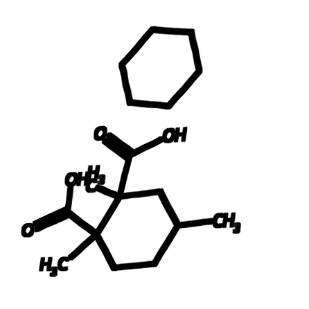 C1CCCCC1.CC1CCC(C)(C(=O)O)C(C)(C(=O)O)C1